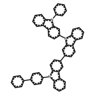 c1ccc(-c2ccc(-n3c4ccccc4c4cc(-c5ccc6c7ccccc7n(-c7ccc8c9ccccc9n(-c9ccccc9)c8c7)c6c5)ccc43)cc2)cc1